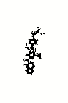 C[C@@H]1c2ccccc2CCN1C(=O)c1cc(C2CC2)c2nc(-c3ccc([C@H]4C[C@H]4C(=O)O)cc3F)n(C)c2c1